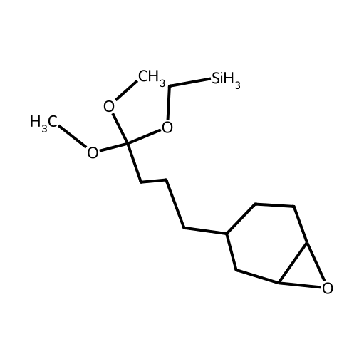 COC(CCCC1CCC2OC2C1)(OC)OC[SiH3]